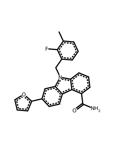 Cc1cccc(Cn2c3cc(-c4ccco4)c[c]c3c3c(C(N)=O)cccc32)c1F